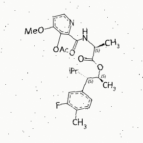 COc1ccnc(C(=O)N[C@@H](C)C(=O)O[C@@H](C)[C@H](c2ccc(C)c(F)c2)C(C)C)c1OC(C)=O